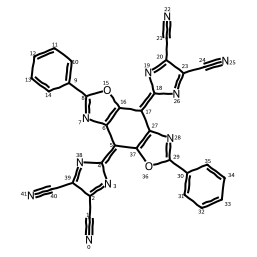 N#CC1=NC(=c2c3nc(-c4ccccc4)oc3c(=C3N=C(C#N)C(C#N)=N3)c3nc(-c4ccccc4)oc23)N=C1C#N